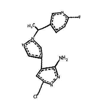 CC(c1ccc(F)nc1)n1cc(-c2cc(Cl)nnc2N)cn1